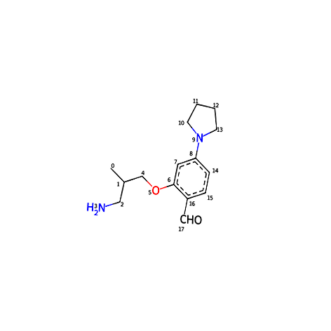 CC(CN)COc1cc(N2CCCC2)ccc1C=O